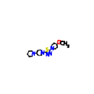 COC1CCN(c2nnc(N3CCC(N4CCCCC4)CC3)s2)CC1